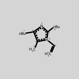 C=Cn1c(CCCC)nc(CCCC)c1C